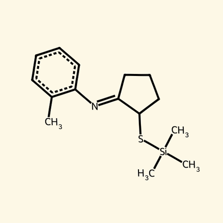 Cc1ccccc1N=C1CCCC1S[Si](C)(C)C